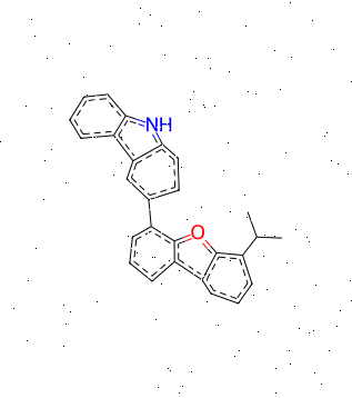 CC(C)c1cccc2c1oc1c(-c3ccc4[nH]c5ccccc5c4c3)cccc12